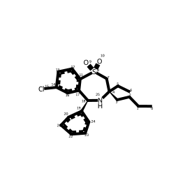 CCCC[C@]1(CC)CS(=O)(=O)c2ccc(Cl)cc2[C@H](c2ccccc2)N1